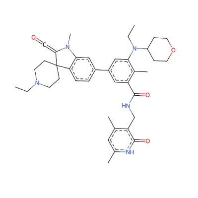 CCN1CCC2(CC1)C(=C=O)N(C)c1cc(-c3cc(C(=O)NCc4c(C)cc(C)[nH]c4=O)c(C)c(N(CC)C4CCOCC4)c3)ccc12